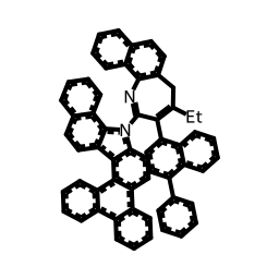 CCC1=C(c2ccc(-c3ccccc3)c3ccccc23)C(n2c3ccc4c5ccccc5c5ccccc5c4c3c3ccc4ccccc4c32)=Nc2c(ccc3ccccc23)C1